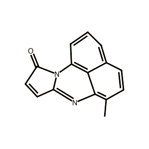 Cc1ccc2cccc3c2c1N=C1C=CC(=O)N13